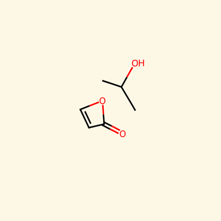 CC(C)O.O=C1C=CO1